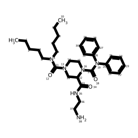 CCCCCN(CCCCC)C(=O)N1CCN(C(=O)N(c2ccccc2)c2ccccc2)C(C(=O)NCCN)C1